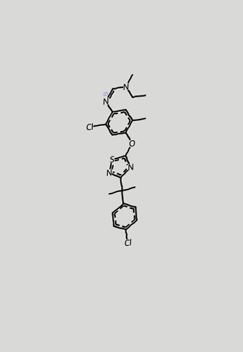 CCN(C)/C=N\c1cc(C)c(Oc2nc(C(C)(C)c3ccc(Cl)cc3)ns2)cc1Cl